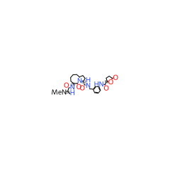 CN[C@@H](C)C(=O)N[C@H]1CCCCC2CC[C@@H](C(=O)NCc3cccc(NC(=O)[C@H]4CCC(=O)O4)c3)N2C1=O